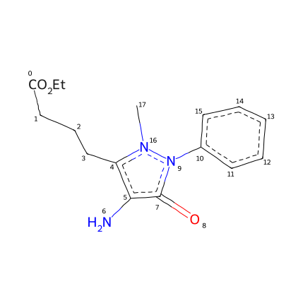 CCOC(=O)CCCc1c(N)c(=O)n(-c2ccccc2)n1C